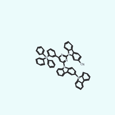 N#Cc1ccc2c3ccccc3n(-c3nc(-c4cccc([Si](c5ccccc5)(c5ccccc5)c5ccccc5)c4)cc(-n4c5ccccc5c5cc(-n6c7ccccc7c7ccccc76)ccc54)n3)c2c1